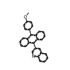 COc1ccc(-c2c3ccccc3c(-c3cnc4ccccc4c3)c3ccccc23)cc1